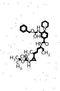 C=C/C(=C\C=C(/C)C1CC1NC(=O)OC(C)(C)C)NC(=O)c1ccc(N2CCCCC2)c(N[C@@H](O)OCc2ccccc2)c1